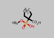 CCCCOP(=O)(O)C(CC(F)(F)F)(CC(F)(F)F)C(=O)O